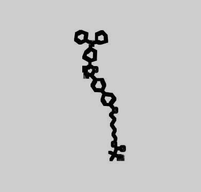 CCC(C)(C)C(=O)OCCCCCCOc1ccc(-c2ccc(-c3nnc(-c4ccc(N(c5ccccc5)c5ccccc5)cc4)o3)cc2)cc1